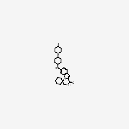 CC1CCN(C2CCC(Nc3ncc4cc5n(c4n3)C3(CCCCC3)CNC5=O)CC2)CC1